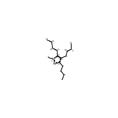 [CH2]n1nc(CCCC)c(CCCC)c1CCCC